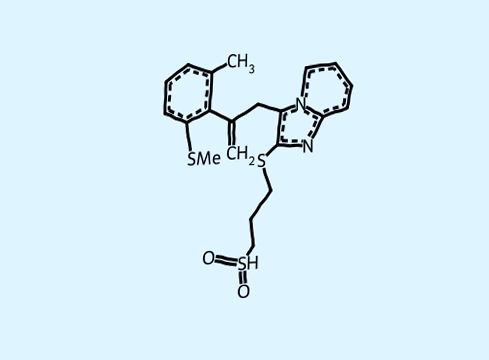 C=C(Cc1c(SCCC[SH](=O)=O)nc2ccccn12)c1c(C)cccc1SC